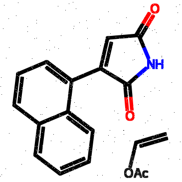 C=COC(C)=O.O=C1C=C(c2cccc3ccccc23)C(=O)N1